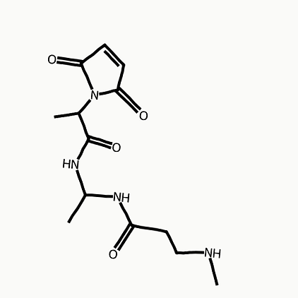 CNCCC(=O)NC(C)NC(=O)C(C)N1C(=O)C=CC1=O